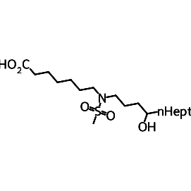 CCCCCCCC(O)CCCN(CCCCCCC(=O)O)S(C)(=O)=O